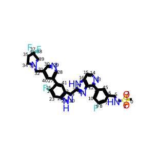 CS(=O)(=O)NCc1cc(F)cc(-c2nccc3[nH]c(-c4n[nH]c5cc(F)c(-c6cncc(CN7CCC(F)(F)C7)c6)cc45)nc23)c1